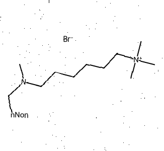 CCCCCCCCCCN(C)CCCCCC[N+](C)(C)C.[Br-]